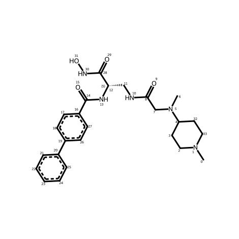 CN1CCC(N(C)CC(=O)NC[C@H](NC(=O)c2ccc(-c3ccccc3)cc2)C(=O)NO)CC1